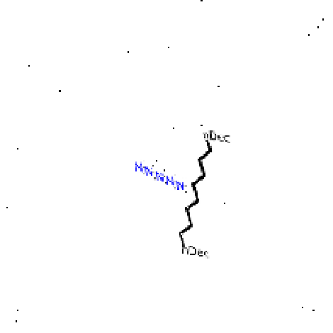 CCCCCCCCCCCCCCCCCCCCCCCCCCCC.[N].[N].[N].[N].[N]